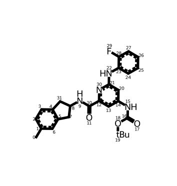 Cc1ccc2c(c1)CC(NC(=O)c1cc(NC(=O)OC(C)(C)C)cc(Nc3ccccc3F)n1)C2